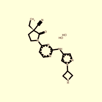 CC[C@]1(C#N)CCN(c2ccnc(Nc3cnn(C4CNC4)c3)n2)C1=O.Cl.Cl